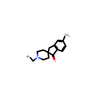 C[C](C)CN1CCC2(CC1)Cc1cc(C)ccc1C2=O